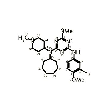 CNc1nc(Nc2ccc(OC)c(F)c2)nc(N(C2CCCCCC2)C2CCN(C)CC2)n1